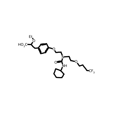 CCOC(Cc1ccc(OCCN(CCOCCCC(F)(F)F)C(=O)NC2CCCCC2)cc1)C(=O)O